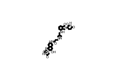 O=C1CCC(N2Cc3c(NCc4cnn(CCC(=O)Nc5ccc6c(F)c(N7CC(=O)NS7(=O)=O)c(O)cc6c5)c4)cccc3C2=O)C(=O)N1